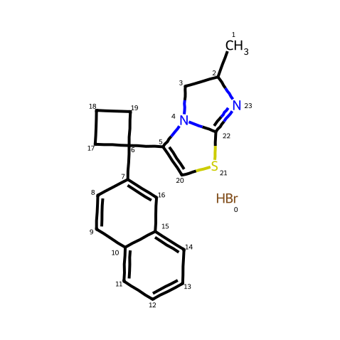 Br.CC1CN2C(C3(c4ccc5ccccc5c4)CCC3)=CSC2=N1